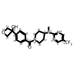 CN(c1ncc(C(F)(F)F)cn1)C1CCN(C(=O)c2ccc(C3(O)COC3)cc2)CC1